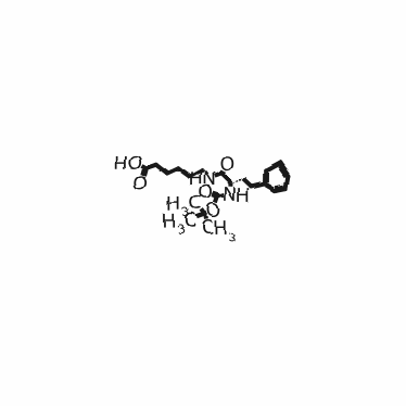 CC(C)(C)OC(=O)N[C@@H](CCc1ccccc1)C(=O)NCCCCCC(=O)O